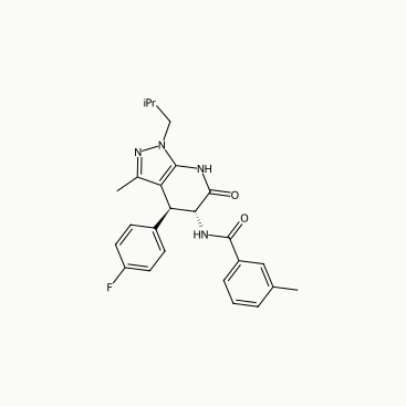 Cc1cccc(C(=O)N[C@H]2C(=O)Nc3c(c(C)nn3CC(C)C)[C@@H]2c2ccc(F)cc2)c1